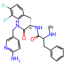 CC(C)NC(Cc1ccccc1)C(=O)N[C@@H](Cc1ccc(F)c(F)c1)C(=O)NCc1ccc(N)nc1